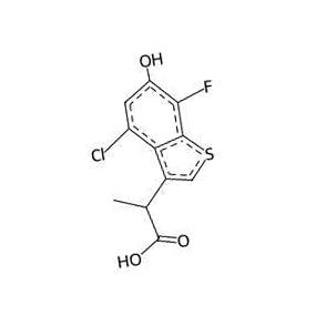 CC(C(=O)O)c1csc2c(F)c(O)cc(Cl)c12